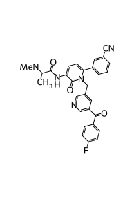 CNC(C)C(=O)Nc1ccc(-c2cccc(C#N)c2)n(Cc2cncc(C(=O)c3ccc(F)cc3)c2)c1=O